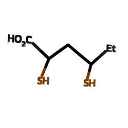 CCC(S)CC(S)C(=O)O